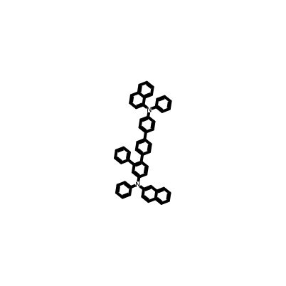 c1ccc(-c2cc(N(c3ccccc3)c3ccc4ccccc4c3)ccc2-c2ccc(-c3ccc(N(c4ccccc4)c4cccc5ccccc45)cc3)cc2)cc1